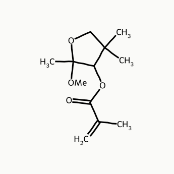 C=C(C)C(=O)OC1C(C)(C)COC1(C)OC